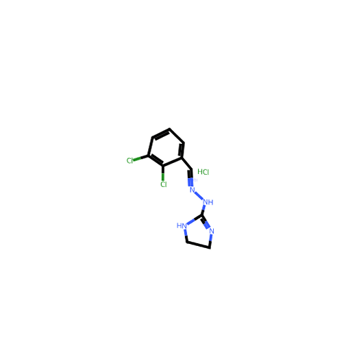 Cl.Clc1cccc(/C=N/NC2=NCCN2)c1Cl